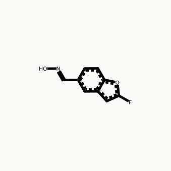 ON=Cc1ccc2oc(F)cc2c1